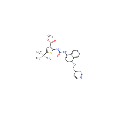 COC(=O)c1cc(C(C)(C)C)sc1NC(=O)Nc1ccc(OCc2ccncc2)c2ccccc12